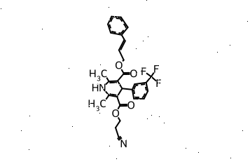 CC1=C(C(=O)OCC=Cc2ccccc2)C(c2cccc(C(F)(F)F)c2)C(C(=O)OCCC#N)=C(C)N1